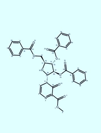 COC(=O)c1nccn([C@@H]2O[C@@H](COC(=O)c3ccccc3)[C@H](OC(=O)c3ccccc3)[C@H]2OC(=O)c2ccccc2)c1=O